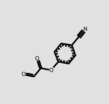 N#Cc1ccc(OC(=O)C=O)cc1